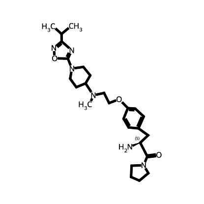 CC(C)c1noc(N2CCC(N(C)CCOc3ccc(C[C@H](N)C(=O)N4CCCC4)cc3)CC2)n1